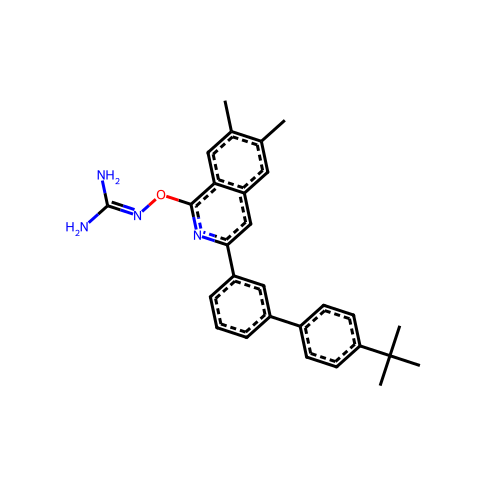 Cc1cc2cc(-c3cccc(-c4ccc(C(C)(C)C)cc4)c3)nc(ON=C(N)N)c2cc1C